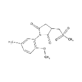 COc1ccc(C)cc1N1C(=O)CC(CS(C)(=O)=O)C1=O